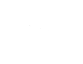 CC(=O)Nc1ccc(C)c(N=C=O)c1